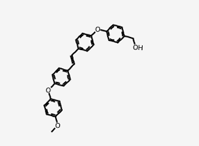 COc1ccc(Oc2ccc(/C=C/c3ccc(Oc4ccc(CO)cc4)cc3)cc2)cc1